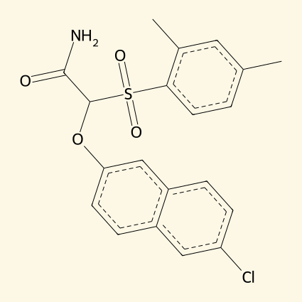 Cc1ccc(S(=O)(=O)C(Oc2ccc3cc(Cl)ccc3c2)C(N)=O)c(C)c1